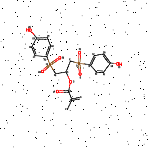 C=C(C)C(=O)OC(CS(=O)(=O)c1ccc(O)cc1)CS(=O)(=O)c1ccc(O)cc1